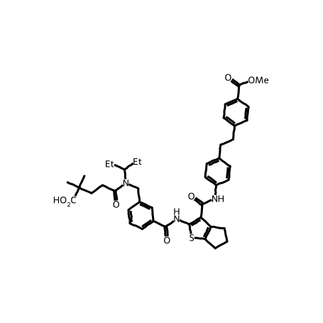 CCC(CC)N(Cc1cccc(C(=O)Nc2sc3c(c2C(=O)Nc2ccc(CCc4ccc(C(=O)OC)cc4)cc2)CCC3)c1)C(=O)CCC(C)(C)C(=O)O